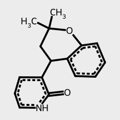 CC1(C)CC(c2ccc[nH]c2=O)c2ccccc2O1